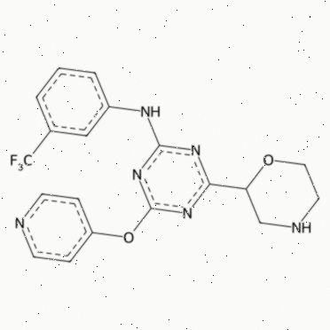 FC(F)(F)c1cccc(Nc2nc(Oc3ccncc3)nc(C3CNCCO3)n2)c1